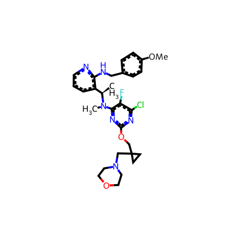 COc1ccc(CNc2ncccc2[C@@H](C)N(C)c2nc(OCC3(CN4CCOCC4)CC3)nc(Cl)c2F)cc1